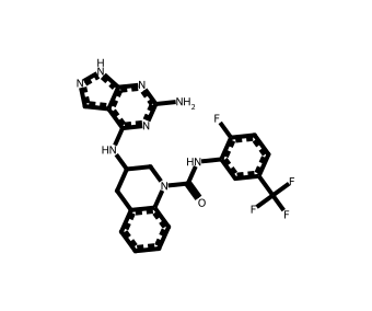 Nc1nc(NC2Cc3ccccc3N(C(=O)Nc3cc(C(F)(F)F)ccc3F)C2)c2cn[nH]c2n1